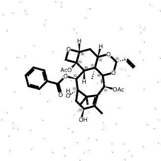 C=C[C@H]1O[C@H]2C[C@H]3OC[C@@]3(OC(C)=O)[C@H]3[C@H](OC(=O)c4ccccc4)[C@]4(O)C[C@H](O)C(C)=C([C@H](OC(C)=O)[C@H](O1)[C@]23C)C4(C)C